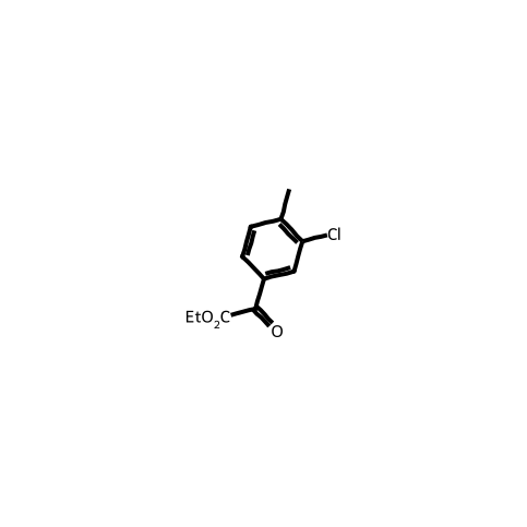 CCOC(=O)C(=O)c1ccc(C)c(Cl)c1